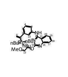 C=[C](c1cccc(Nc2nc(OCCOC)nc3ccccc23)c1)[Sn]([CH2]CCC)([CH2]CCC)[CH2]CCC